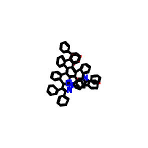 c1ccc(-c2ccccc2-c2ccccc2-c2c(-c3ccccc3-c3nnnc(-c4ccccc4)c3-c3ccccc3)c3c(c(-c4ccccc4-c4ccccc4-c4ccccc4)c2-c2ccccc2)-c2c4c(ccc2=N3)=c2ccccc2=N4)cc1